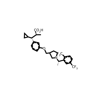 C[C@H](C(=O)O)[C@H](c1cccc(OCC2CCN([C@@H](C)c3cc(C(F)(F)F)ccc3C(F)(F)F)C2)c1)C1CC1